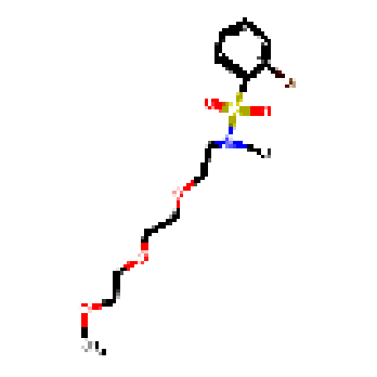 COCCOCCOCCN(C)S(=O)(=O)c1ccccc1Br